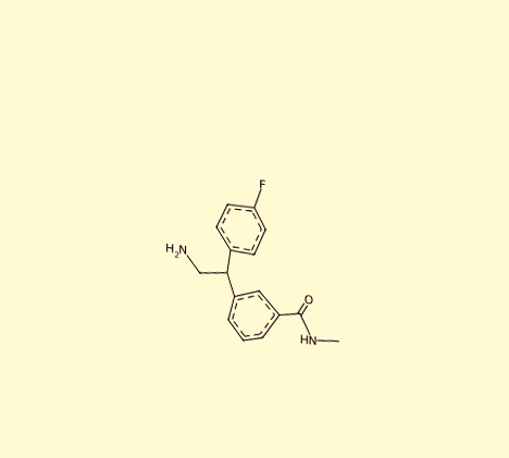 CNC(=O)c1cccc(C(CN)c2ccc(F)cc2)c1